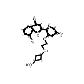 O=C(O)C1CC(OCCOc2cc(Br)cnc2-c2cc(=O)c3cccc(Cl)c3o2)C1